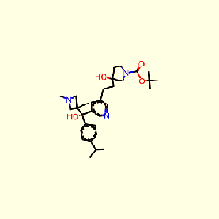 CC(C)c1ccc(C(O)(c2cncc(CCC3(O)CCN(C(=O)OC(C)(C)C)C3)c2)C2(C)CN(C)C2)cc1